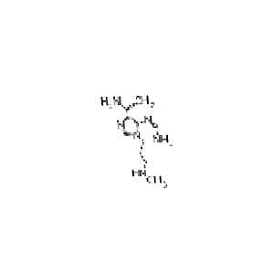 C=C(N)c1ncn(CCCNC)c1/N=C\N